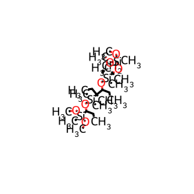 C=C[Si](C)(OC(CC)C(C)(CC)[Si](C)(C)OC(CC)[Si](C)(OC)OC)C(C)(C)O[Si](C)(OC)OC